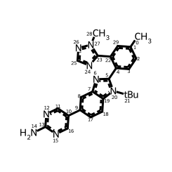 Cc1ccc(-c2nc3cc(-c4cnc(N)nc4)ccc3n2C(C)(C)C)c(-c2ncnn2C)c1